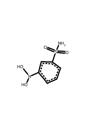 NS(=O)(=O)c1cccc(N(O)O)c1